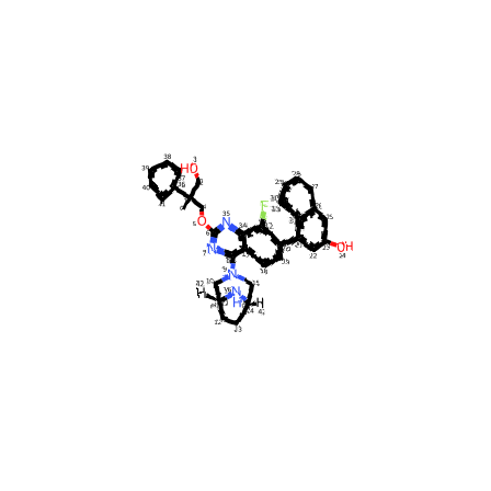 CC(CO)(COc1nc(N2C[C@H]3CC[C@@H](C2)N3)c2ccc(-c3cc(O)cc4ccccc34)c(F)c2n1)c1ccccc1